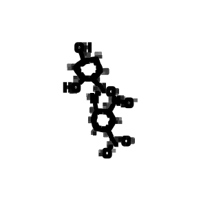 O=[N+]([O-])c1ccc(/N=N/c2ccc(O)cc2O)c([N+](=O)[O-])c1